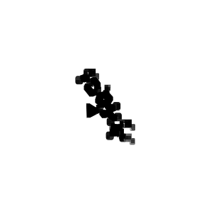 CC(=O)N1CCN(c2cc3c(cc2F)c(=O)c(C(=O)O[C@@H]2C(=O)N(C)[C@@H]2C)cn3C2CC2)CC1